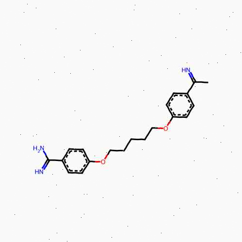 CC(=N)c1ccc(OCCCCCOc2ccc(C(=N)N)cc2)cc1